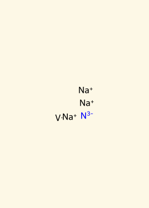 [N-3].[Na+].[Na+].[Na+].[V]